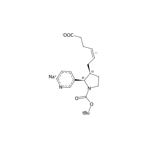 CC(C)(C)OC(=O)N1CC[C@H](C/C=C\CCC(=O)[O-])[C@@H]1c1cccnc1.[Na+]